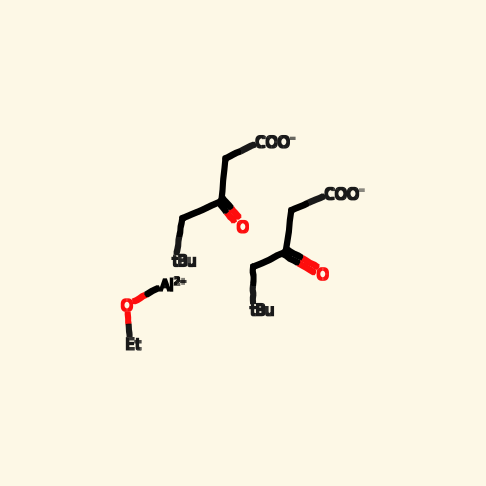 CC(C)(C)CC(=O)CC(=O)[O-].CC(C)(C)CC(=O)CC(=O)[O-].CC[O][Al+2]